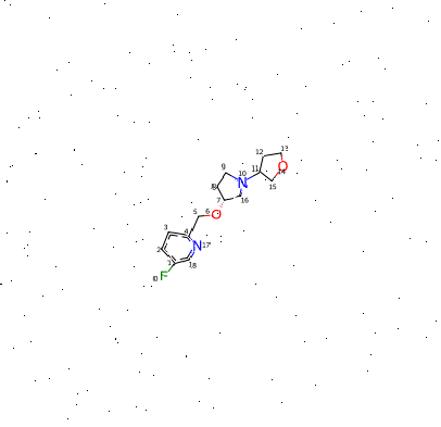 Fc1ccc(CO[C@@H]2CCN(C3CCOC3)C2)nc1